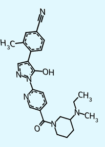 CCN(C)C1CCCN(C(=O)c2ccc(-n3ncc(-c4ccc(C#N)cc4C)c3O)nc2)C1